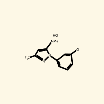 CNc1cc(C(F)(F)F)nn1-c1cccc(Cl)c1.Cl